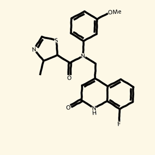 COc1cccc(N(Cc2cc(=O)[nH]c3c(F)cccc23)C(=O)C2SC=NC2C)c1